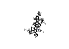 C/C=N\c1cc(-n2cccn2)cc(NC2=NC=CC2C)c1Cc1nc2ncnc3nc(-n4cnc5cc(-n6cccn6)cc(Nc6nccn6C)c54)c4ccc1c4n23